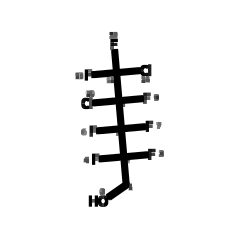 OCC(F)(F)C(F)(F)C(F)(Cl)C(F)(F)Cl